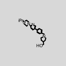 CC(C)N1CCN(c2ccc(-c3ccc(CN4CCC(CO)CC4)cc3)cn2)CC1